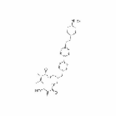 C=C(CO)C(=O)OCC(COC(=O)C(C)=C(C)C)Cc1ccc(-c2ccc(CCC3CCC(CCCCCC)CC3)cc2)cc1